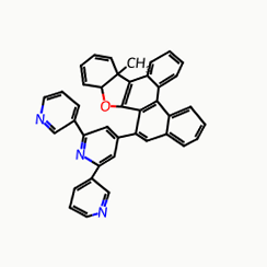 CC12C=CC=CC1Oc1c2c2ccccc2c2c1c(-c1cc(-c3cccnc3)nc(-c3cccnc3)c1)cc1ccccc12